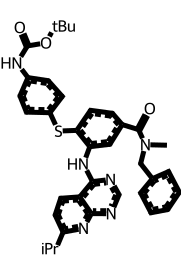 CC(C)c1ccc2c(Nc3cc(C(=O)N(C)Cc4ccccc4)ccc3Sc3ccc(NC(=O)OC(C)(C)C)cc3)ncnc2n1